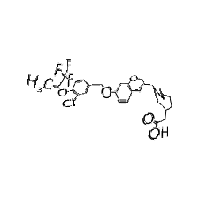 C[C@H](Oc1ccc(COc2ccc3c(c2)OCC(CN2CCC(CC(=O)O)C2)=C3)cc1Cl)C(F)(F)F